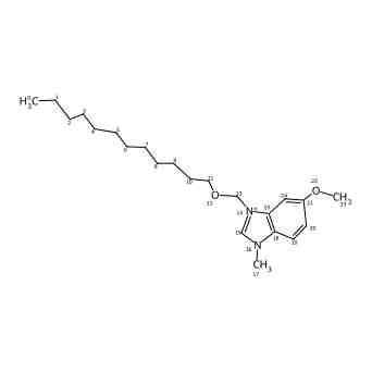 CCCCCCCCCCCCOC[n+]1cn(C)c2ccc(OC)cc21